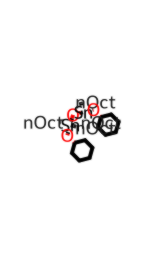 CCCCCCC[CH2][Sn]([CH2]CCCCCCC)([O]C1CCCCC1)[O][Sn]([CH2]CCCCCCC)([CH2]CCCCCCC)[O]C1CCCCC1